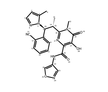 Cc1ccnn1[C@H](c1ccccc1C#N)[C@H](C)c1nc(C(=O)Nc2cnoc2)c(O)c(=O)n1C